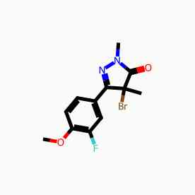 COc1ccc(C2=NN(C)C(=O)C2(C)Br)cc1F